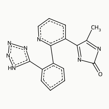 CC1=NC(=O)N=C1c1cccnc1-c1ccccc1-c1nnn[nH]1